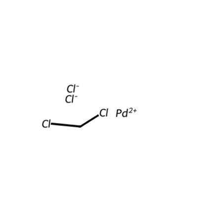 ClCCl.[Cl-].[Cl-].[Pd+2]